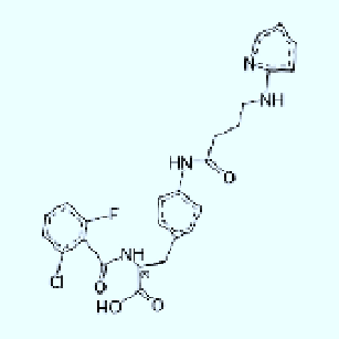 O=C(CCCNc1ccccn1)Nc1ccc(C[C@H](NC(=O)c2c(F)cccc2Cl)C(=O)O)cc1